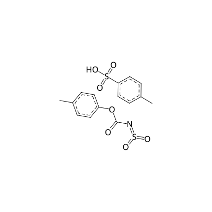 Cc1ccc(OC(=O)N=S(=O)=O)cc1.Cc1ccc(S(=O)(=O)O)cc1